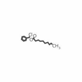 CCCCCCCCCC(=O)OC(Cl)c1ccccc1